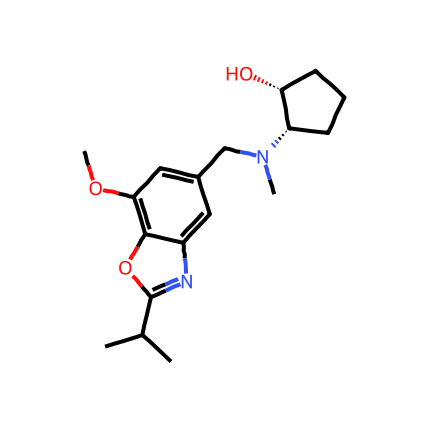 COc1cc(CN(C)[C@H]2CCC[C@H]2O)cc2nc(C(C)C)oc12